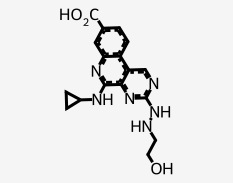 O=C(O)c1ccc2c(c1)nc(NC1CC1)c1nc(NNCCO)ncc12